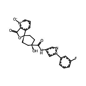 O=C1O[C@]2(CC[C@@](O)(C(=O)Nc3cnn(-c4cccc(F)c4)c3)CC2)c2ccc[n+]([O-])c21